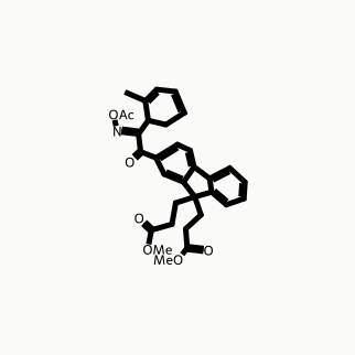 COC(=O)CCC1(CCC(=O)OC)c2ccccc2-c2ccc(C(=O)/C(=N/OC(C)=O)C3CC=CC=C3C)cc21